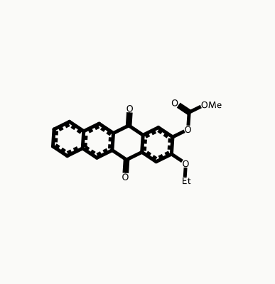 CCOc1cc2c(cc1OC(=O)OC)C(=O)c1cc3ccccc3cc1C2=O